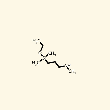 CCO[Si](C)(C)CCCNC